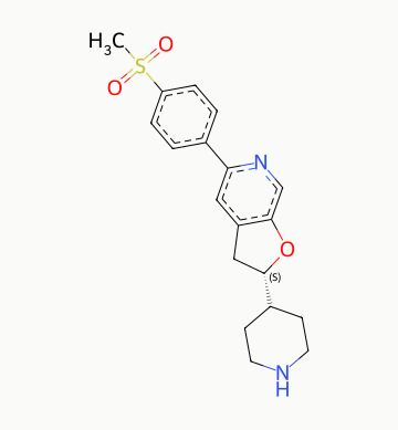 CS(=O)(=O)c1ccc(-c2cc3c(cn2)O[C@H](C2CCNCC2)C3)cc1